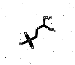 CCS(=O)(=O)CC[C@H](N)C(=O)O